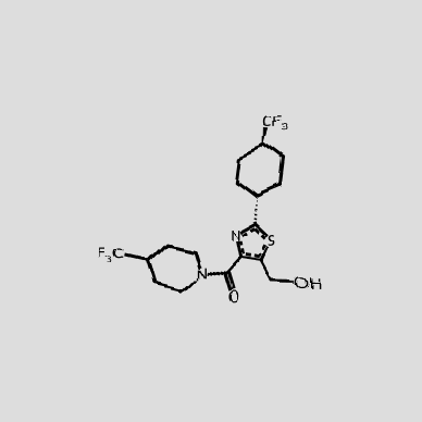 O=C(c1nc([C@H]2CC[C@H](C(F)(F)F)CC2)sc1CO)N1CCC(C(F)(F)F)CC1